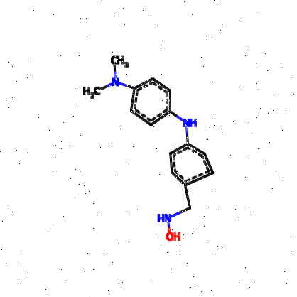 CN(C)c1ccc(Nc2ccc(CNO)cc2)cc1